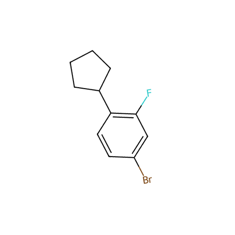 Fc1cc(Br)ccc1C1CCCC1